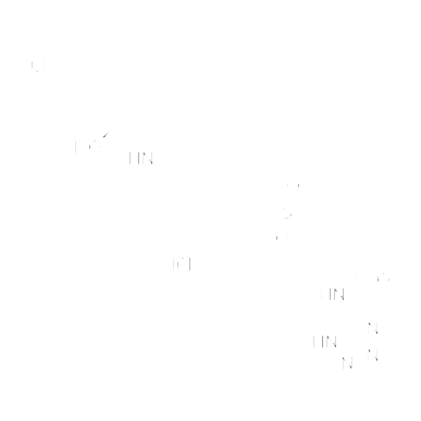 Cl.O=C(Nc1nnn[nH]1)c1cccc(S(=O)(=O)c2ccc(CCNC[C@@H](O)c3cccc(Cl)c3)cc2)c1